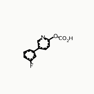 O=C(O)Oc1ccc(-c2cccc(F)c2)cn1